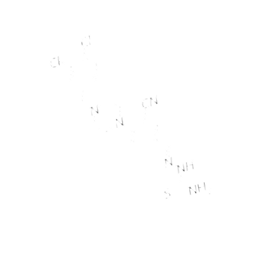 N#Cc1cc(/C=N/NC(N)=S)ccc1N1CCN(Cc2ccc(Cl)c(Cl)c2)CC1